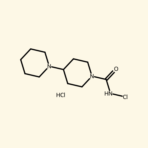 Cl.O=C(NCl)N1CCC(N2CCCCC2)CC1